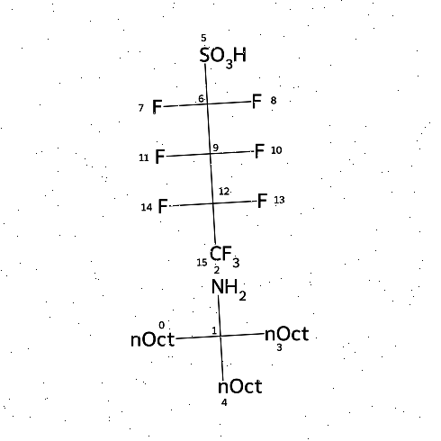 CCCCCCCCC(N)(CCCCCCCC)CCCCCCCC.O=S(=O)(O)C(F)(F)C(F)(F)C(F)(F)C(F)(F)F